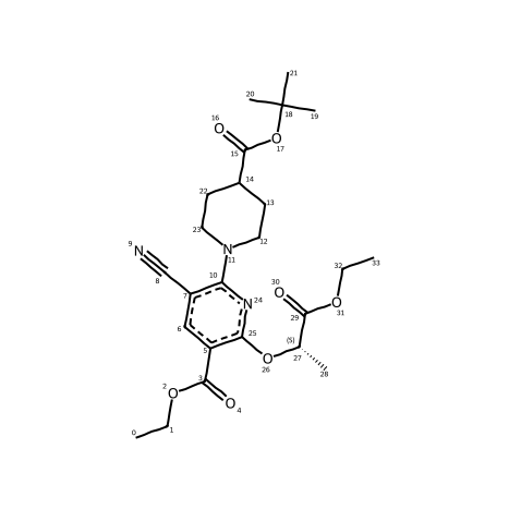 CCOC(=O)c1cc(C#N)c(N2CCC(C(=O)OC(C)(C)C)CC2)nc1O[C@@H](C)C(=O)OCC